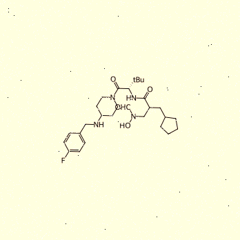 CC(C)(C)[C@H](NC(=O)C(CC1CCCC1)CN(O)C=O)C(=O)N1CCC(NCc2ccc(F)cc2)CC1